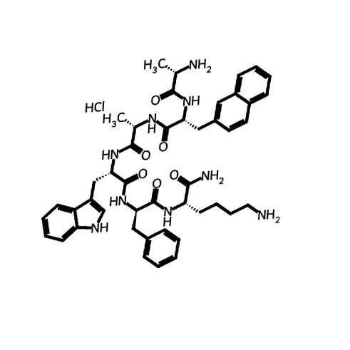 C[C@H](N)C(=O)N[C@H](Cc1ccc2ccccc2c1)C(=O)N[C@@H](C)C(=O)N[C@@H](Cc1c[nH]c2ccccc12)C(=O)N[C@H](Cc1ccccc1)C(=O)N[C@@H](CCCCN)C(N)=O.Cl